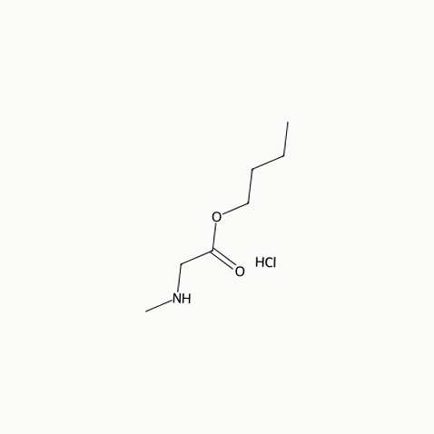 CCCCOC(=O)CNC.Cl